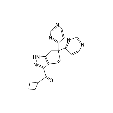 O=C(c1n[nH]c2c1C=CC(c1ccncn1)(c1ccncn1)C2)C1CCC1